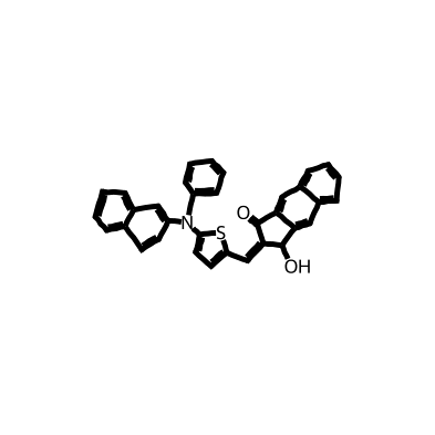 O=C1/C(=C\c2ccc(N(c3ccccc3)c3ccc4ccccc4c3)s2)C(O)c2cc3ccccc3cc21